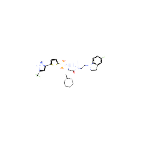 Cn1nc(C(F)(F)F)cc1-c1ccc(S(=O)(=O)N[C@@H](CC2CCCCC2)C(=O)NCCN2CCc3cc(F)ccc32)s1